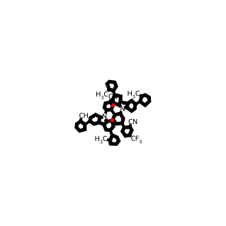 Cc1ccccc1-c1ccc2c(c1)c1cc(-c3ccccc3C)ccc1n2-c1ccc(C#N)cc1-c1ccc(-c2ccc(C(F)(F)F)cc2C#N)cc1-n1c2ccc(-c3ccccc3C)cc2c2cc(-c3ccccc3C)ccc21